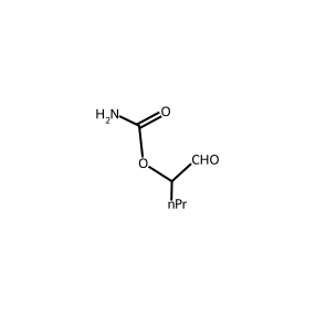 CCCC(C=O)OC(N)=O